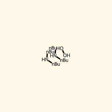 CCCCNCCCC.CCCCNCCCC.OO